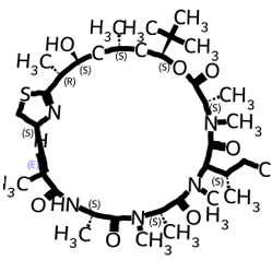 CC[C@H](C)C1C(=O)N(C)[C@@H](C)C(=O)O[C@H](C(C)(C)C)C[C@@H](C)C[C@H](O)[C@@H](C)C2=N[C@@H](/C=C(\C)C(=O)N[C@@H](C)C(=O)N(C)[C@@H](C)C(=O)N1C)CS2